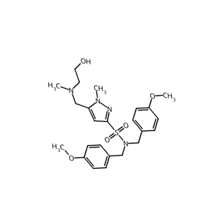 COc1ccc(CN(Cc2ccc(OC)cc2)S(=O)(=O)c2cc(CN(C)CCO)n(C)n2)cc1